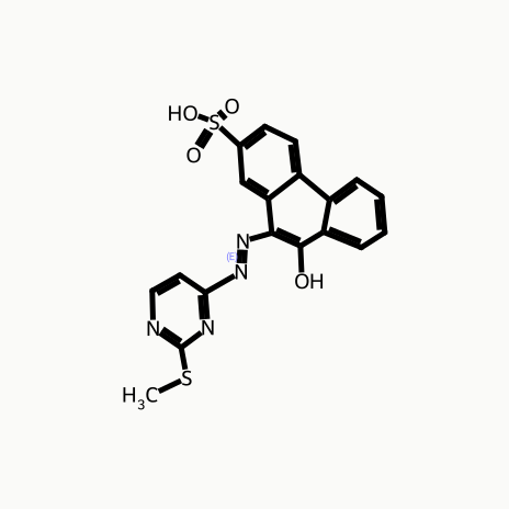 CSc1nccc(/N=N/c2c(O)c3ccccc3c3ccc(S(=O)(=O)O)cc23)n1